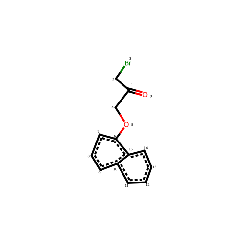 O=C(CBr)COc1cccc2ccccc12